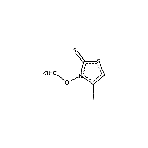 Cc1csc(=S)n1O[C]=O